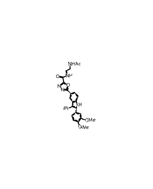 COc1ccc(-c2[nH]c3ccc(-c4nnc(C(=O)NCCNC(C)=O)o4)cc3c2C(C)C)cc1OC